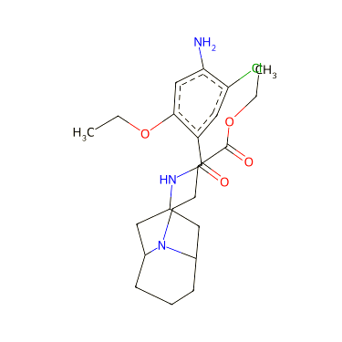 CCOC(=O)CCCN1C2CCCC1CC(NC(=O)c1cc(Cl)c(N)cc1OCC)C2